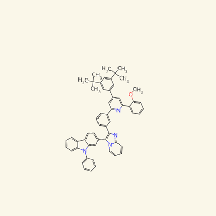 COc1ccccc1-c1cc(-c2cc(C(C)(C)C)cc(C(C)(C)C)c2)cc(-c2cccc(-c3nc4ccccn4c3-c3ccc4c5ccccc5n(-c5ccccc5)c4c3)c2)n1